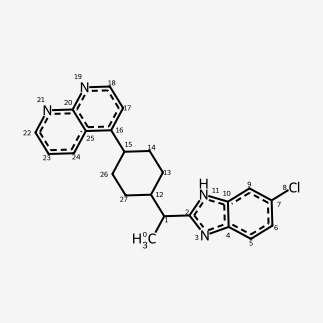 CC(c1nc2ccc(Cl)cc2[nH]1)C1CCC(c2ccnc3ncccc23)CC1